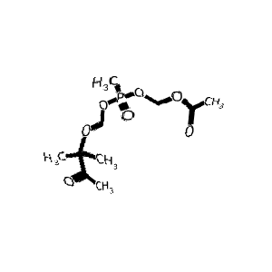 CC(=O)OCOP(C)(=O)OCOC(C)(C)C(C)=O